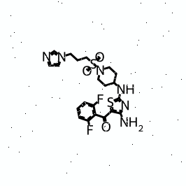 Nc1nc(NC2CCN(S(=O)(=O)CCCn3ccnc3)CC2)sc1C(=O)c1c(F)cccc1F